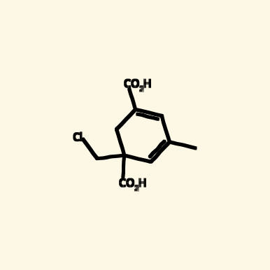 CC1=CC(CCl)(C(=O)O)CC(C(=O)O)=C1